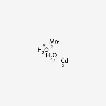 O.O.[Cd].[Mn]